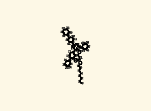 CCCCCCCCOC(=O)CCON1C(c2ccc(-c3ccccc3)cc2)=NC(c2ccc(-c3ccccc3)cc2)=NC1c1ccccc1